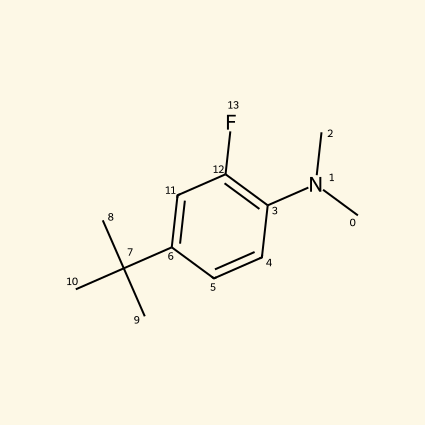 CN(C)c1ccc(C(C)(C)C)cc1F